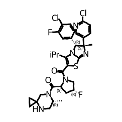 CC(C)C1=C(C(=O)N2C[C@H](F)C[C@H]2C(=O)N2CC3(CC3)NC[C@H]2C)SC2=N[C@@](C)(c3ccc(Cl)nc3)[C@@H](c3ccc(Cl)c(F)c3)N21